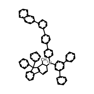 CC1C2=C(C=CC1N(c1ccc(-c3ccc(-c4cccc(-c5ccc6ccccc6c5)c4)cc3)cc1)c1cc(-c3ccccc3)cc(-c3ccccc3)c1)c1ccccc1C2(c1ccccc1)c1ccccc1